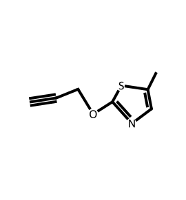 C#CCOc1ncc(C)s1